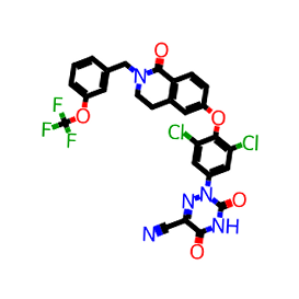 N#Cc1nn(-c2cc(Cl)c(Oc3ccc4c(c3)CCN(Cc3cccc(OC(F)(F)F)c3)C4=O)c(Cl)c2)c(=O)[nH]c1=O